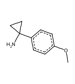 COc1ccc(C2(N)CC2)cc1